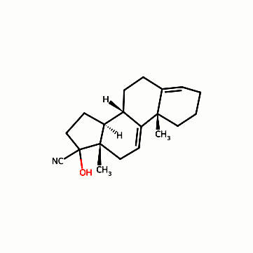 C[C@]12CCCC=C1CC[C@@H]1C2=CC[C@@]2(C)[C@H]1CCC2(O)C#N